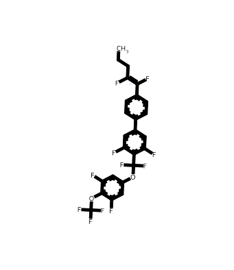 CCC/C(F)=C(\F)c1ccc(-c2cc(F)c(C(F)(F)Oc3cc(F)c(OC(F)(F)F)c(F)c3)c(F)c2)cc1